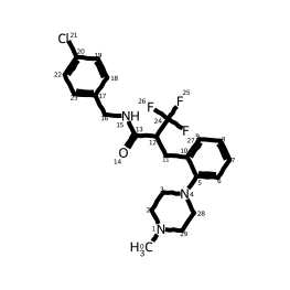 CN1CCN(c2ccccc2CC(C(=O)NCc2ccc(Cl)cc2)C(F)(F)F)CC1